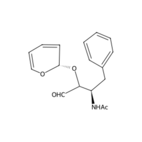 CC(=O)N[C@H](Cc1ccccc1)C(C=O)O[C@H]1C=CC=CO1